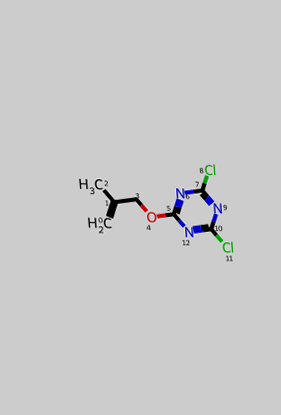 C=C(C)COc1nc(Cl)nc(Cl)n1